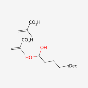 C=C(C)C(=O)O.C=C(C)C(=O)O.CCCCCCCCCCCCCC(O)O